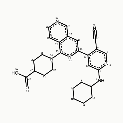 N#Cc1cnc(NC2CCCCC2)cc1-c1cc2cnccc2c(N2CCC(C(=O)O)CC2)n1